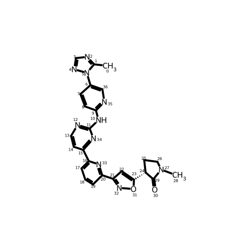 Cc1ncnn1-c1ccc(Nc2nccc(-c3cccc(-c4cc([C@@H]5CCN(C)C5=O)on4)n3)n2)nc1